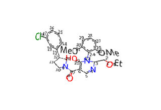 CCOCC1N=CC(C(=O)N2CCC(c3cccc(Cl)c3)C2)=C(O)N1c1c(OC)cccc1OC